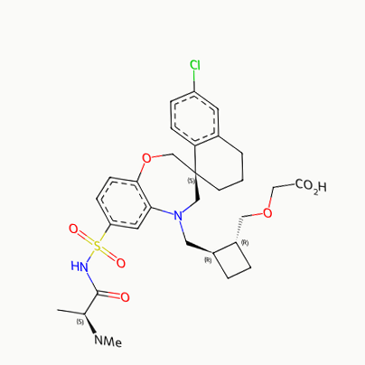 CN[C@@H](C)C(=O)NS(=O)(=O)c1ccc2c(c1)N(C[C@@H]1CC[C@H]1COCC(=O)O)C[C@@]1(CCCc3cc(Cl)ccc31)CO2